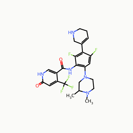 CC1CN(c2cc(F)c(C3=CCCNC3)c(F)c2NC(=O)c2c[nH]c(=O)cc2C(F)(F)F)CCN1C